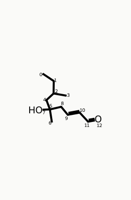 CCC(C)CC(C)(O)CC=CC=O